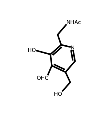 CC(=O)NCc1ncc(CO)c(C=O)c1O